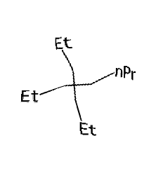 [CH2]CC(CC)(CC)CCC